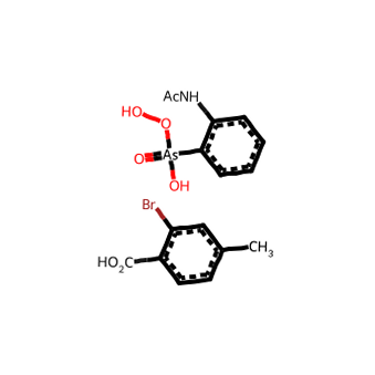 CC(=O)Nc1ccccc1[As](=O)(O)OO.Cc1ccc(C(=O)O)c(Br)c1